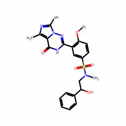 CCCc1nc(C)c2c(=O)[nH]c(-c3cc(S(=O)(=O)N(C)CC(O)c4ccccc4)ccc3OCC)nn12